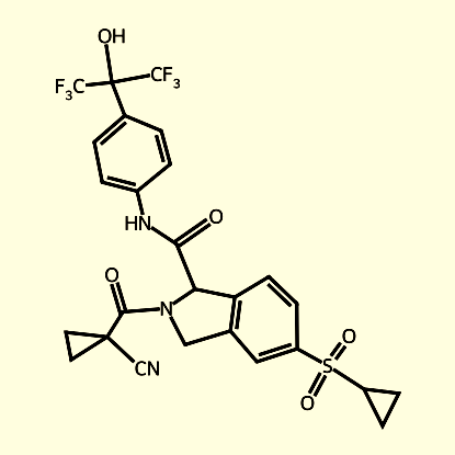 N#CC1(C(=O)N2Cc3cc(S(=O)(=O)C4CC4)ccc3C2C(=O)Nc2ccc(C(O)(C(F)(F)F)C(F)(F)F)cc2)CC1